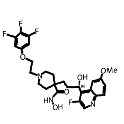 COc1ccc2ncc(F)c([C@H](O)CCC3(C(=O)NO)CCN(CCOc4cc(F)c(F)c(F)c4)CC3)c2c1